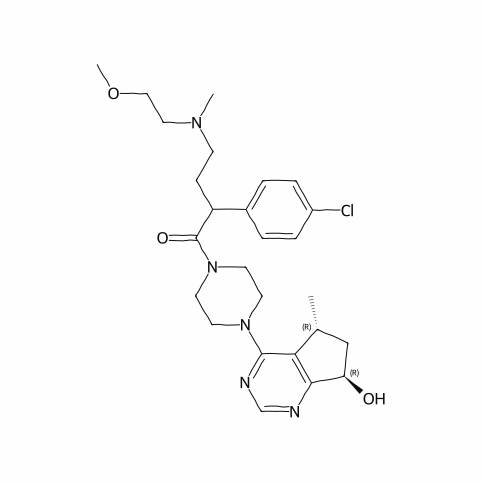 COCCN(C)CCC(C(=O)N1CCN(c2ncnc3c2[C@H](C)C[C@H]3O)CC1)c1ccc(Cl)cc1